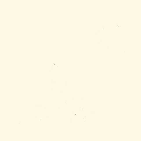 COc1ccc(COC(c2ccccc2)(c2ccc(OC)cc2)c2cc(OCCCOc3ccc([N+](=O)[O-])c(CO)c3)ccc2[N+](=O)[O-])cc1